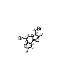 Cc1cc2c(o1)c(Br)cc1c(CBr)c(C)oc12